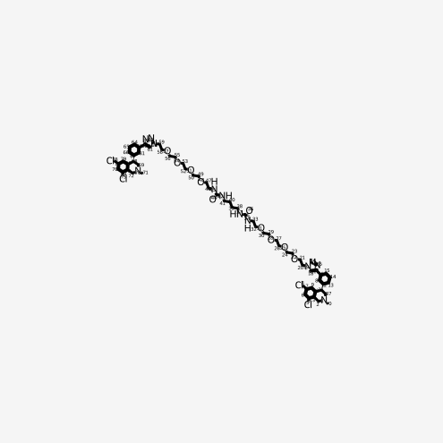 CN1Cc2c(Cl)cc(Cl)cc2[C@H](c2cccc(-c3cn(CCOCCOCCOCCOCCNC(=O)NCCCCNC(=O)NCCOCCOCCOCCOCCn4cc(-c5cccc([C@@H]6CN(C)Cc7c(Cl)cc(Cl)cc76)c5)nn4)nn3)c2)C1